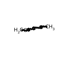 C=CCCOCc1ccc(CCC2CCC(CCCCc3ccc(/C=C/CCC)cc3)CC2)cc1